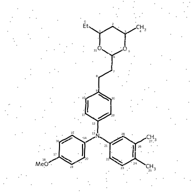 CCC1CC(C)OC(CCc2ccc(N(c3ccc(OC)cc3)c3ccc(C)c(C)c3)cc2)O1